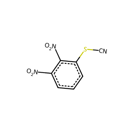 N#CSc1cccc([N+](=O)[O-])c1[N+](=O)[O-]